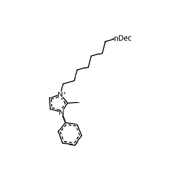 CCCCCCCCCCCCCCCCC[n+]1ccn(-c2ccccc2)c1C